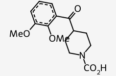 COc1cccc(C(=O)C2CCN(C(=O)O)CC2)c1OC